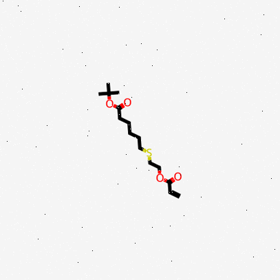 C=CC(=O)OCCSCCCCCC(=O)OC(C)(C)C